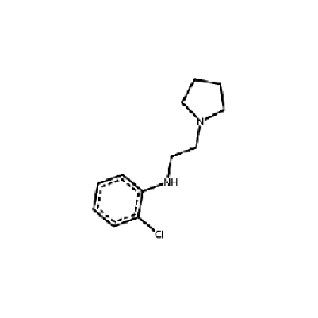 Clc1ccccc1NCCN1CCCC1